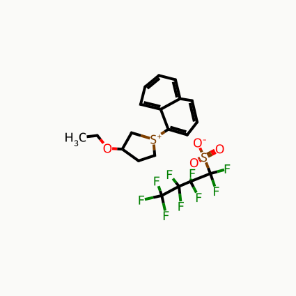 CCOC1CC[S+](c2cccc3ccccc23)C1.O=S(=O)([O-])C(F)(F)C(F)(F)C(F)(F)C(F)(F)F